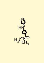 CCN(CC)C(=O)c1ccc(NCc2ccncc2)cc1